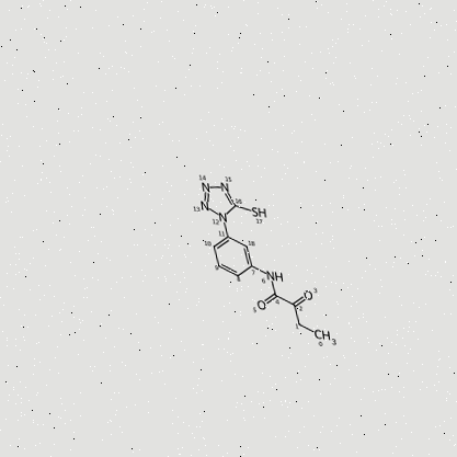 CCC(=O)C(=O)Nc1cccc(-n2nnnc2S)c1